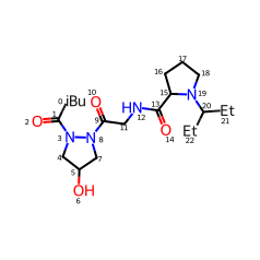 CCC(C)C(=O)N1CC(O)CN1C(=O)CNC(=O)C1CCCN1C(CC)CC